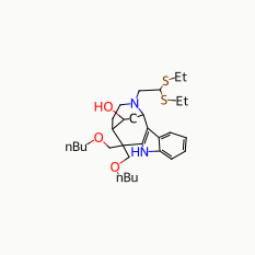 CCCCOCC1(COCCCC)c2[nH]c3ccccc3c2C2CC(O)C1CCN2CC(SCC)SCC